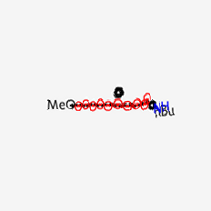 CCCCNc1ccc(C(=O)OCCOCCOCCOCCOCCOCCOCCOCCOCCOC)cc1.c1ccccc1